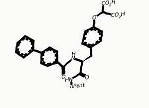 CCCCCNC(=O)[C@H](Cc1ccc(OC(C(=O)O)C(=O)O)cc1)NC(=O)c1ccc(-c2ccccc2)cc1